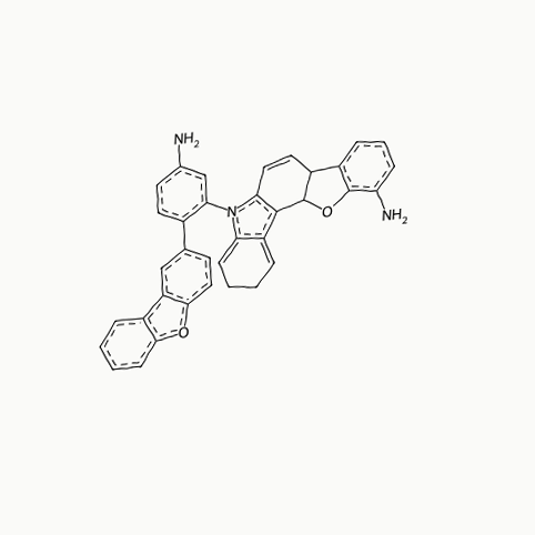 Nc1ccc(-c2ccc3oc4ccccc4c3c2)c(-n2c3c(c4c2=CCCC=4)C2Oc4c(N)cccc4C2C=C3)c1